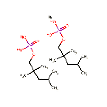 CC(C)CC(C)(C)COP(=O)(O)O.CC(C)CC(C)(C)COP(=O)(O)O.[Ni]